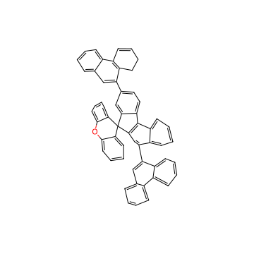 C1=Cc2c(c(-c3ccc4c(c3)C3(c5ccccc5Oc5ccccc53)c3cc(-c5cc6ccccc6c6ccccc56)c5ccccc5c3-4)cc3ccccc23)CC1